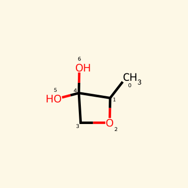 CC1OCC1(O)O